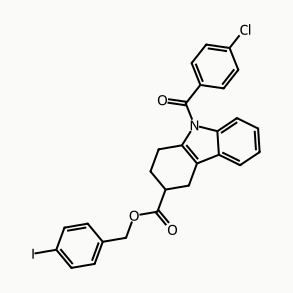 O=C(OCc1ccc(I)cc1)C1CCc2c(c3ccccc3n2C(=O)c2ccc(Cl)cc2)C1